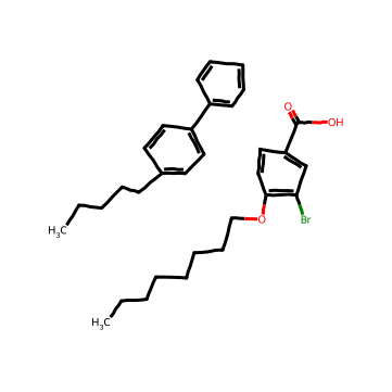 CCCCCCCCOc1ccc(C(=O)O)cc1Br.CCCCCc1ccc(-c2ccccc2)cc1